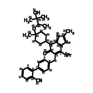 CCCc1c(Cc2ccc(-c3ccccc3C#N)cc2)c(=O)n(C2CCC(C)(OC(C)C(C)(C)O)CC2)c2nc(C)nn12